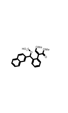 COC=C(C(=O)OC)c1ccccc1C(OS(=O)(=O)O)c1ccc2ccccc2c1